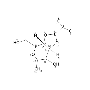 CC(C)B1O[C@H]2C(CO)OC(C)C(O)[C@@H]2O1